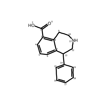 O=C(O)c1cccc2c1CCNCC2c1ccccc1